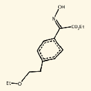 CCOCCc1ccc(C(=NO)C(=O)OCC)cc1